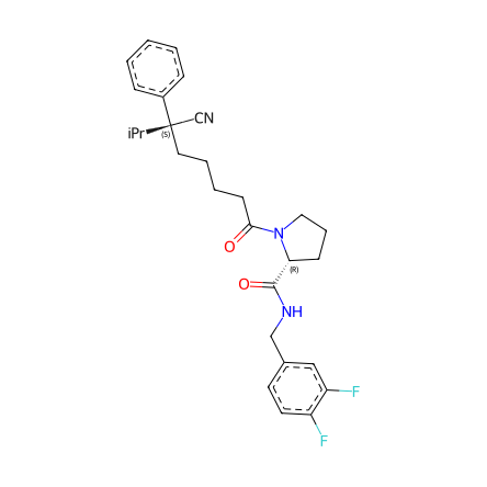 CC(C)[C@@](C#N)(CCCCC(=O)N1CCC[C@@H]1C(=O)NCc1ccc(F)c(F)c1)c1ccccc1